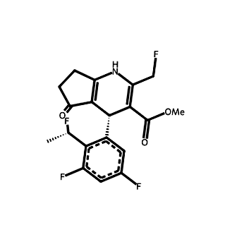 COC(=O)C1=C(CF)NC2=C(C(=O)CC2)[C@H]1c1cc(F)cc(F)c1[C@H](C)F